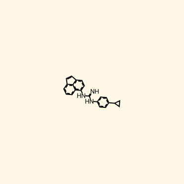 N=C(Nc1ccc(C2CC2)cc1)Nc1ccc2c3c(cccc13)C=C2